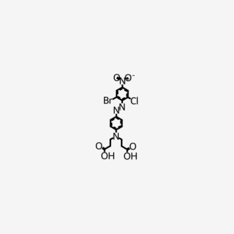 O=C(O)CCN(CCC(=O)O)c1ccc(N=Nc2c(Cl)cc([N+](=O)[O-])cc2Br)cc1